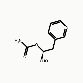 NC(=O)O[C@H](C=O)Cc1cccnc1